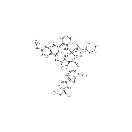 C=C[C@@H]1C[C@]1(NC(=O)[C@@H]1C[C@@H](Oc2cc(-c3ccccc3)nc3cc(OC)ccc23)CN1C(=O)C(CC(=O)N1CCCCC1)C(C)(C)C)C(=O)NS(=O)(=O)CC